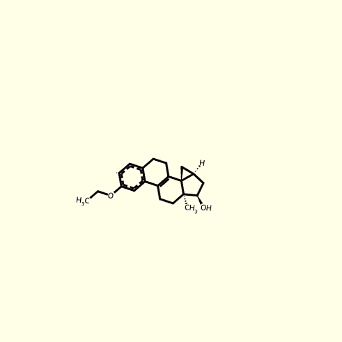 CCOc1[c]cc2c(c1)C1=C(CC2)[C@]23C[C@H]2C[C@@H](O)[C@@]3(C)CC1